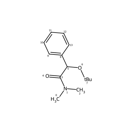 CN(C)C(=O)C(OC(C)(C)C)c1ccccc1